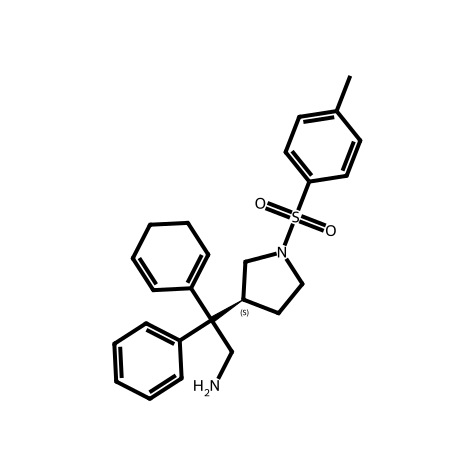 Cc1ccc(S(=O)(=O)N2CC[C@@H](C(CN)(C3=CCCC=C3)c3ccccc3)C2)cc1